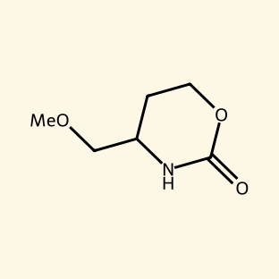 COCC1CCOC(=O)N1